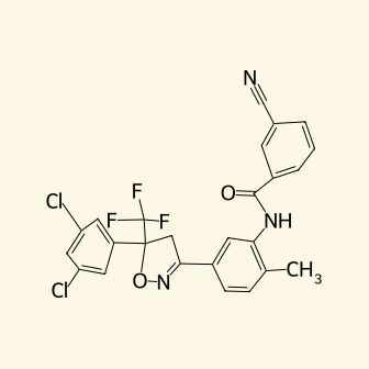 Cc1ccc(C2=NOC(c3cc(Cl)cc(Cl)c3)(C(F)(F)F)C2)cc1NC(=O)c1cccc(C#N)c1